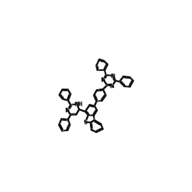 C1=C(c2ccccc2)N=C(c2ccccc2)NC1c1cc(-c2ccc(-c3nc(-c4ccccc4)nc(-c4ccccc4)n3)cc2)cc2c1sc1ccccc12